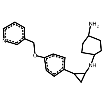 NC1CCC(NC2CC2c2ccc(OCc3cccnc3)cc2)CC1